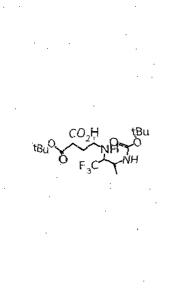 CC(NC(=O)OC(C)(C)C)C(N[C@H](CCC(=O)OC(C)(C)C)C(=O)O)C(F)(F)F